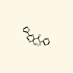 Nc1ncc(-c2ccco2)nc1C(=O)Nc1cccnc1